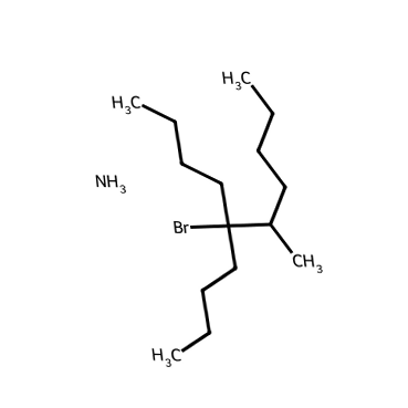 CCCCC(C)C(Br)(CCCC)CCCC.N